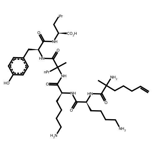 C=CCCCC(C)(N)C(=O)N[C@@H](CCCCN)C(=O)N[C@@H](CCCCN)C(=O)NC(C)(CCC)C(=O)N[C@@H](Cc1ccc(O)cc1)C(=O)N[C@@H](CC(C)C)C(=O)O